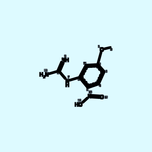 COc1cccc(NC(=N)N)c1.O=NO